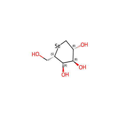 OC[C@@H]1[Se]C[C@H](O)[C@@H](O)[C@H]1O